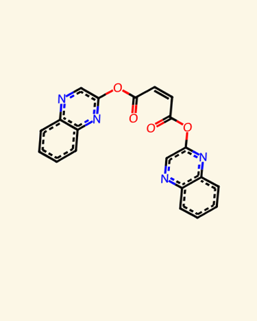 O=C(/C=C\C(=O)Oc1cnc2ccccc2n1)Oc1cnc2ccccc2n1